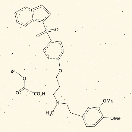 CC(C)OC(=O)C(=O)O.COc1ccc(CCN(C)CCCOc2ccc(S(=O)(=O)c3ccc4ccccn34)cc2)cc1OC